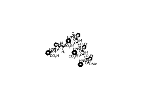 CCOC(=O)C(C)NC(=O)N1CCC[C@H]1C(=O)NNc1ccc(C(=O)O)cc1.CCOC(=O)C(C)NC(=O)N1CCC[C@H]1C(=O)NNc1cccc(C(=O)O)c1.CCOC(=O)C(C)NC(=O)N1CCC[C@H]1C(=O)NNc1ccccc1C(=O)O.COC(=O)N1CCCC1C(=O)NNc1ccccc1